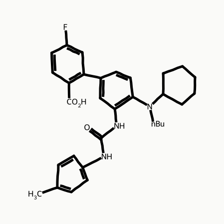 CCCCN(c1ccc(-c2cc(F)ccc2C(=O)O)cc1NC(=O)Nc1ccc(C)cc1)C1CCCCC1